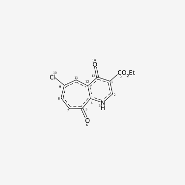 CCOC(=O)c1c[nH]c2c(=O)ccc(Cl)cc2c1=O